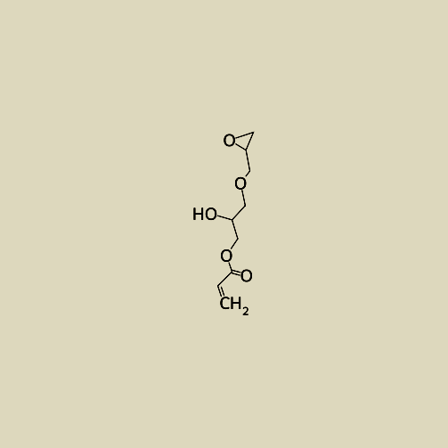 C=CC(=O)OCC(O)COCC1CO1